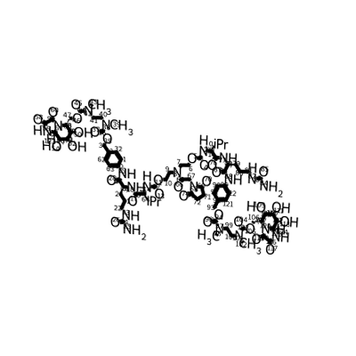 CC(C)[C@H](NC(=O)OCCN(CCOC(=O)N[C@H](C(=O)N[C@@H](CCCNC(N)=O)C(=O)Nc1ccc(COC(=O)N(C)CCN(C)C(=O)OC[C@@H]2[C@@H](O)[C@H](O)[C@H](O)[C@H]3NC(=O)C(=O)N23)cc1)C(C)C)C(=O)CN1C(=O)CCC1=O)C(=O)N[C@@H](CCCNC(N)=O)C(=O)Nc1ccc(COC(=O)N(C)CCN(C)C(=O)OC[C@@H]2[C@@H](O)[C@H](O)[C@H](O)[C@H]3NC(=O)C(=O)N23)cc1